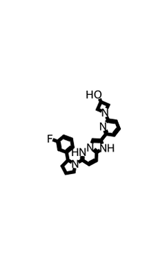 N=C(/C=C\c1ncc(-c2cccc(N3CC(O)C3)n2)[nH]1)N1CCCC1c1cccc(F)c1